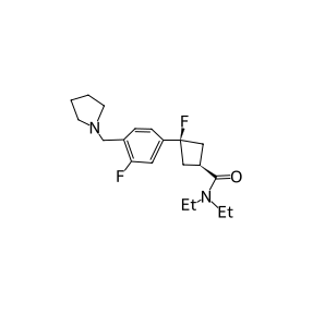 CCN(CC)C(=O)[C@H]1C[C@](F)(c2ccc(CN3CCCC3)c(F)c2)C1